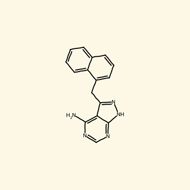 Nc1ncnc2[nH]nc(Cc3cccc4ccccc34)c12